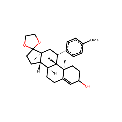 COc1ccc([C@H]2C[C@@]3(C)[C@@H](CCC34OCCO4)[C@@H]3CCC4=CC(O)CC[C@]4(C)[C@H]32)cc1